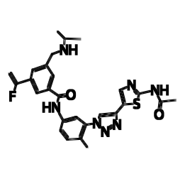 C=C(F)c1cc(CNC(C)C)cc(C(=O)Nc2ccc(C)c(-n3cc(-c4cnc(NC(C)=O)s4)nn3)c2)c1